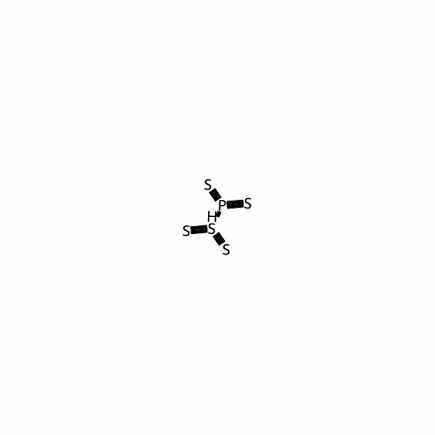 S=P(=S)[SH](=S)=S